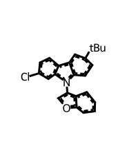 CC(C)(C)c1ccc2c(c1)c1ccc(Cl)cc1n2-c1coc2ccccc12